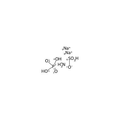 N.O=P([O-])(O)O.O=S(=O)([O-])O.[Na+].[Na+]